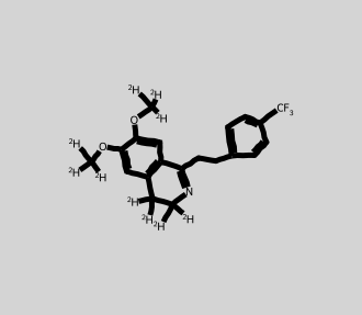 [2H]C([2H])([2H])Oc1cc2c(cc1OC([2H])([2H])[2H])C([2H])([2H])C([2H])([2H])N=C2CCc1ccc(C(F)(F)F)cc1